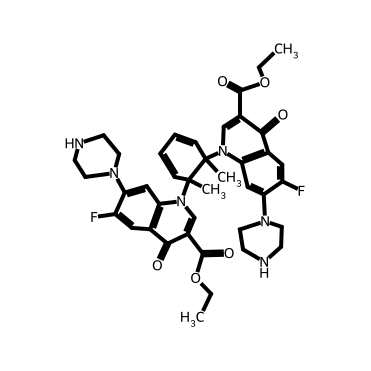 CCOC(=O)c1cn(C2(C)C=CC=CC2(C)n2cc(C(=O)OCC)c(=O)c3cc(F)c(N4CCNCC4)cc32)c2cc(N3CCNCC3)c(F)cc2c1=O